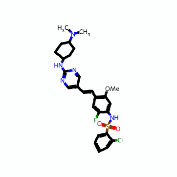 COc1cc(NS(=O)(=O)c2ccccc2Cl)c(F)cc1/C=C/c1cnc(NC2CCC(N(C)C)CC2)nc1